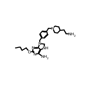 CCCCOc1nc(N)c2c(n1)N(Cc1ccc(CN3CCC(CCN)CC3)cc1)CN2